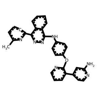 Cc1cccc(-c2nnc(Nc3ccc(Oc4ncccc4-c4ccnc(N)c4)cc3)c3ccccc23)n1